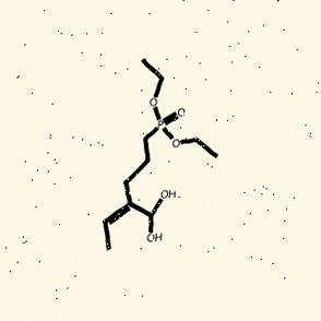 CC=C(CCCP(=O)(OCC)OCC)C(O)O